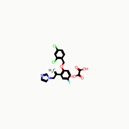 C=C(Cn1ccnc1)c1cc(F)ccc1OCc1ccc(Cl)cc1Cl.O=C(O)C(=O)O